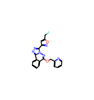 FCc1cc(-c2nnc3c4ccccc4c(OCc4ccccn4)nn23)no1